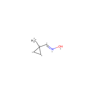 CC1(C=NO)CC1